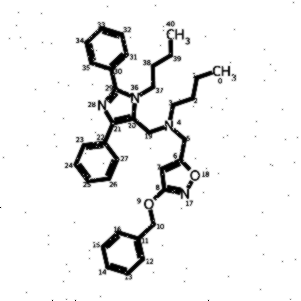 CCCCN(Cc1cc(OCc2ccccc2)no1)Cc1c(-c2ccccc2)nc(-c2ccccc2)n1CCCC